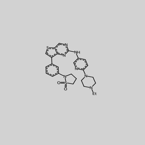 CCN1CCN(c2ccc(Nc3ncc4scc(-c5cccc(N6CCCS6(=O)=O)c5)c4n3)cn2)CC1